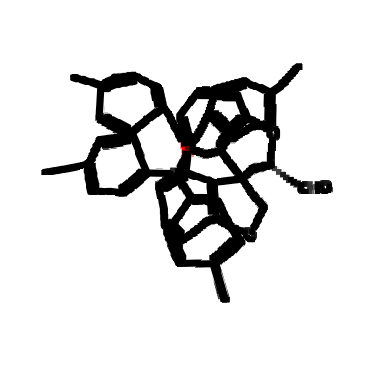 Cc1ccc(P(c2ccc(C)cc2)c2cccc3c2C2(CO3)c3c(cccc3P(c3ccc(C)cc3)c3ccc(C)cc3)O[C@@H]2C=O)cc1